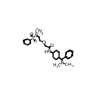 CN(C)C(c1ccccc1)C1CCC(NC(=O)COCCN(C)S(=O)(=O)c2ccccc2)CC1